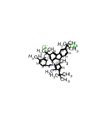 CC1=[C](/[Zr+2](=[CH]/c2ccc(C)cc2)[c]2cc(C(C)(C)C)cc3c2Cc2ccc(C(C)(C)C)cc2-3)C(C)C=C1C(C)(C)C.[Cl-].[Cl-]